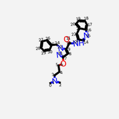 CN(C)CCCOc1cc(C(=O)Nc2cnc3ccccc3c2)n(Cc2ccccc2)n1